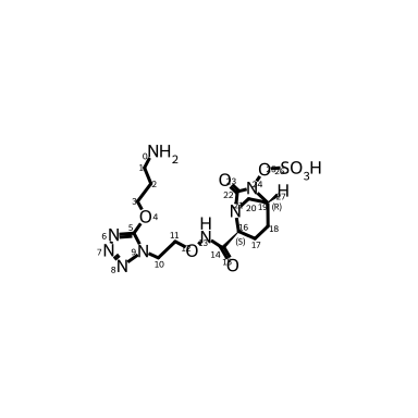 NCCCOc1nnnn1CCONC(=O)[C@@H]1CC[C@@H]2CN1C(=O)N2OS(=O)(=O)O